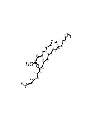 CCCCCCCC(=O)O.CCCCCCCCCCCCCCCCCCN